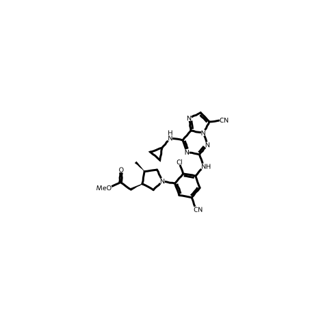 COC(=O)C[C@@H]1CN(c2cc(C#N)cc(Nc3nc(NC4CC4)c4ncc(C#N)n4n3)c2Cl)C[C@@H]1C